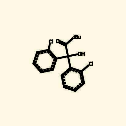 CC(C)(C)C(=O)C(O)(c1ccccc1Cl)c1ccccc1Cl